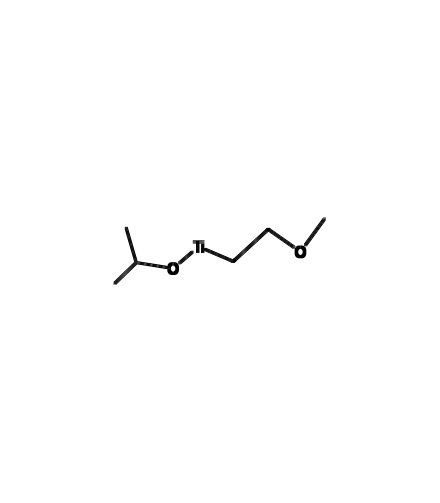 COC[CH2][Ti][O]C(C)C